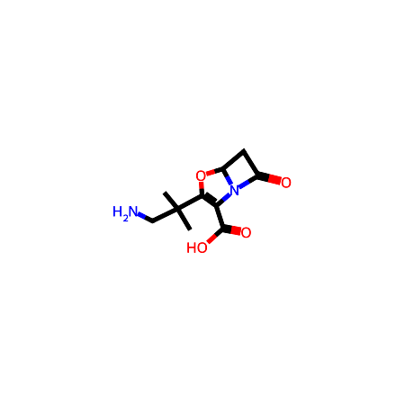 CC(C)(CN)C1=C(C(=O)O)N2C(=O)CC2O1